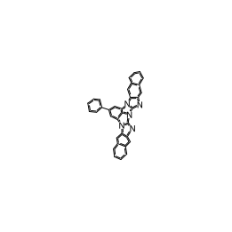 c1ccc(-c2cc3c4c(c2)n2c5cc6ccccc6cc5nc2n4c2nc4cc5ccccc5cc4n32)cc1